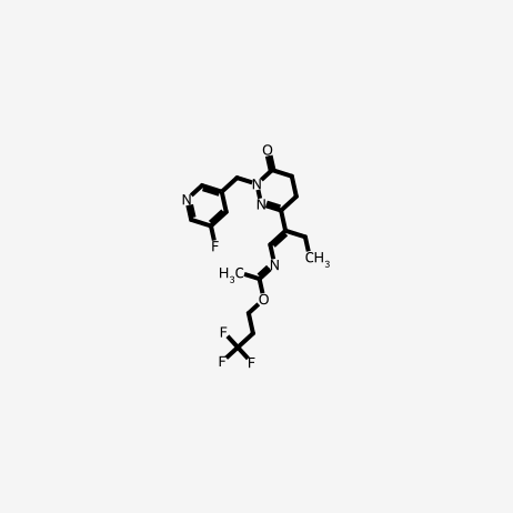 CC/C(=C\N=C(/C)OCCC(F)(F)F)C1=NN(Cc2cncc(F)c2)C(=O)CC1